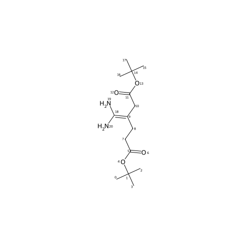 CC(C)(C)OC(=O)CCC(CC(=O)OC(C)(C)C)=C(N)N